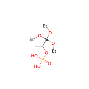 CCO[Si](OCC)(OCC)C(C)OP(=O)(O)O